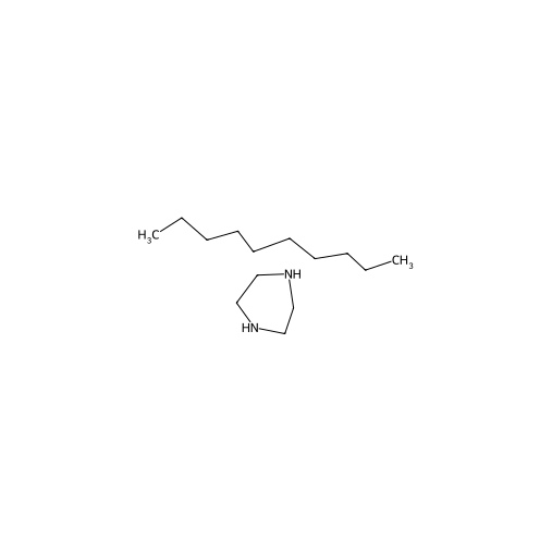 C1CNCCN1.CCCCCCCCCC